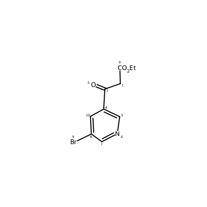 CCOC(=O)CC(=O)c1cncc(Br)c1